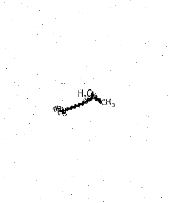 CCCCCN(CC)CCCCCCCCCCCCCNC(=O)C(F)(F)F